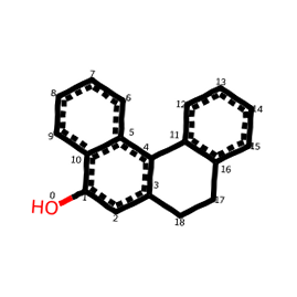 Oc1cc2c(c3ccccc13)-c1ccccc1CC2